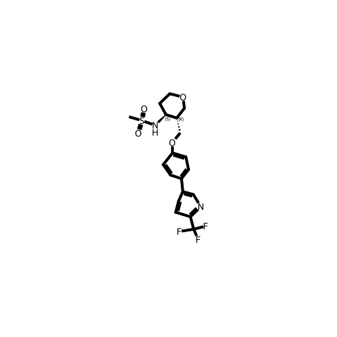 CS(=O)(=O)N[C@H]1CCOC[C@@H]1COc1ccc(-c2ccc(C(F)(F)F)nc2)cc1